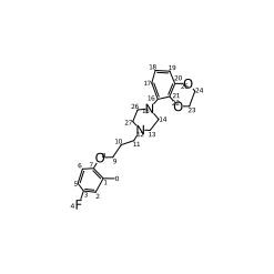 Cc1cc(F)ccc1OCCCN1CCN(c2cccc3c2OCCO3)CC1